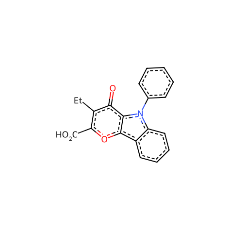 CCc1c(C(=O)O)oc2c3ccccc3n(-c3ccccc3)c2c1=O